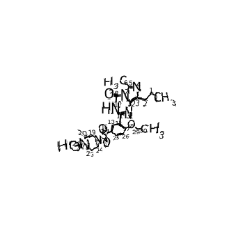 CCCc1nc(C)n2c(=O)[nH]c(-c3cc(S(=O)(=O)N4CCN(O)CC4)ccc3OCC)nc12